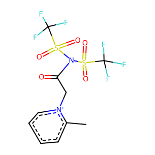 Cc1cccc[n+]1CC(=O)N(S(=O)(=O)C(F)(F)F)S(=O)(=O)C(F)(F)F